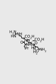 CC(C)C[C@H](NC(=O)[C@H](CCC(=O)O)NC(=O)[C@@H](N)CC(N)=O)C(=O)N[C@@H](CCCNC(=N)N)C(=O)O